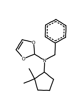 CC1(C)CCCC1N(Cc1ccccc1)C1OC=CO1